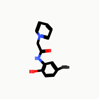 COc1ccc(O)c(NC(=O)C[n+]2ccccc2)c1